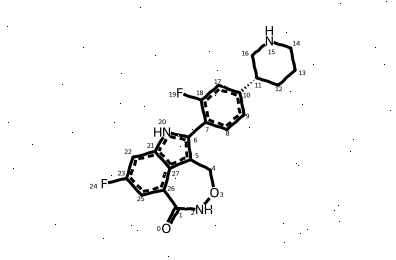 O=C1NOCc2c(-c3ccc([C@H]4CCCNC4)cc3F)[nH]c3cc(F)cc1c23